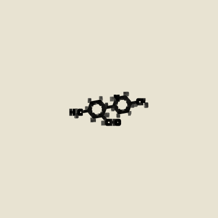 Cc1ccc(-c2ccc(C(F)(F)F)cn2)c(C=O)c1